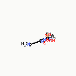 CN1CCC(C#CC#Cc2cc3n(c2)C(=O)N(CC[C@](C)(C(=O)NO)S(C)(=O)=O)C3)C1